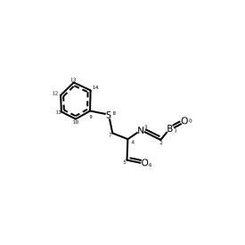 O=B/C=N/C(C=O)CSc1ccccc1